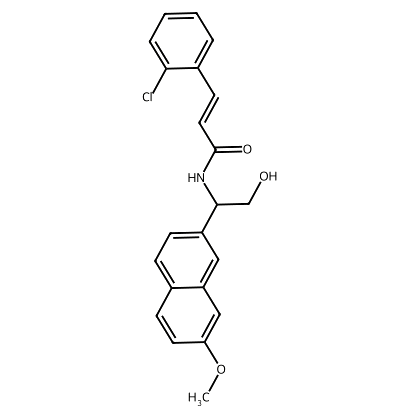 COc1ccc2ccc(C(CO)NC(=O)C=Cc3ccccc3Cl)cc2c1